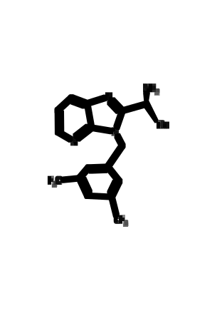 CC[C@H](C)[C@H](N)c1nc2cccnc2n1Cc1cc(C(F)(F)F)cc(C(F)(F)F)c1